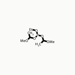 CCOP(OC(C)OC)OC(C)OC